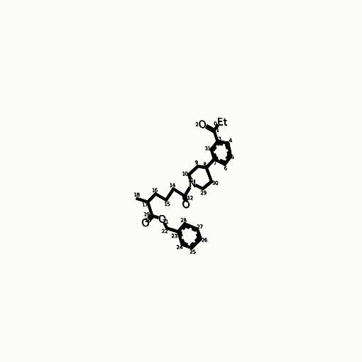 CCC(=O)c1cccc(C2CCN(C(=O)CCCC(C)C(=O)OCc3ccccc3)CC2)c1